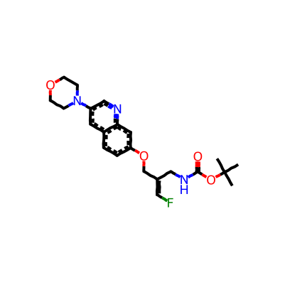 CC(C)(C)OC(=O)NC/C(=C\F)COc1ccc2cc(N3CCOCC3)cnc2c1